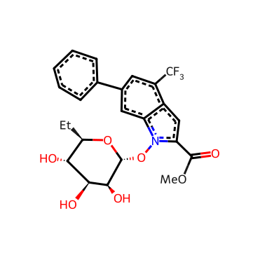 CC[C@H]1O[C@H](On2c(C(=O)OC)cc3c(C(F)(F)F)cc(-c4ccccc4)cc32)[C@@H](O)[C@@H](O)[C@@H]1O